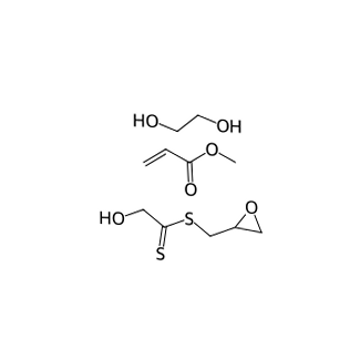 C=CC(=O)OC.OCC(=S)SCC1CO1.OCCO